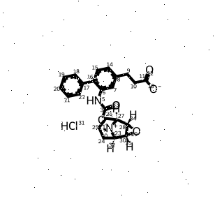 C[N+]1(OC(=O)Nc2cc(CCC(=O)[O-])ccc2-c2ccccc2)[C@@H]2CCC[C@H]1[C@@H]1O[C@@H]12.Cl